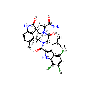 [2H]c1ccc2c(c1)[C@@]1(C[C@@H](C(N)=O)N(C(=O)[C@H](CC(C)C)N(C(=O)c3cc4c(F)cc(F)c(F)c4[nH]3)C([2H])([2H])[2H])C1)C(=O)N2